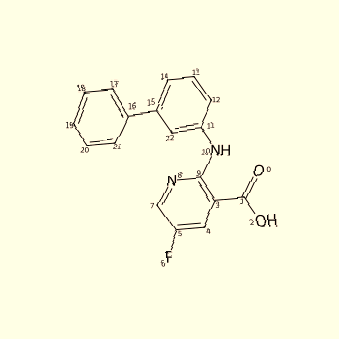 O=C(O)c1cc(F)cnc1Nc1cccc(-c2ccccc2)c1